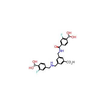 O=C(O)c1cc(CNCc2ccc(B(O)O)c(F)c2)cc(CNC(=O)c2ccc(B(O)O)c(F)c2)c1